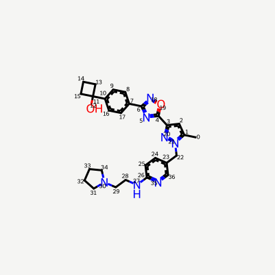 Cc1cc(-c2nc(-c3ccc(C4(O)CCC4)cc3)no2)nn1Cc1ccc(NCCN2CCCC2)nc1